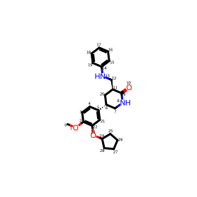 COc1ccc([C@H]2CNC(=O)[C@H](CNc3ccccc3)C2)cc1OC1CCCC1